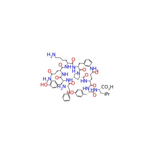 CC(C)C[C@H](NC(=O)[C@H](Cc1ccc(O)cc1)NC(=O)[C@H](CCC(N)=O)NC(=O)[C@@H]1CCCN1C(=O)[C@H](Cc1ccccc1)NC(=O)[C@H](CCCCN)NC(=O)[C@H](CCC(N)=O)NC(=O)[C@H](Cc1ccc(O)cc1)NC(=O)[C@@H](N)Cc1ccccc1)C(=O)O